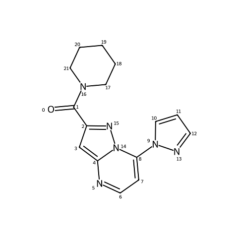 O=C(c1cc2nccc(-n3cccn3)n2n1)N1CCCCC1